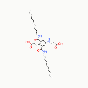 CCCCCCCCCCNC(=O)c1cc(NCCC(=O)O)cc(C(=O)NCCCCCCCCCC)c1CCC(=O)O